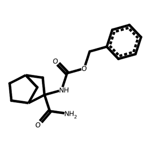 NC(=O)C1(NC(=O)OCc2ccccc2)CC2CCC1C2